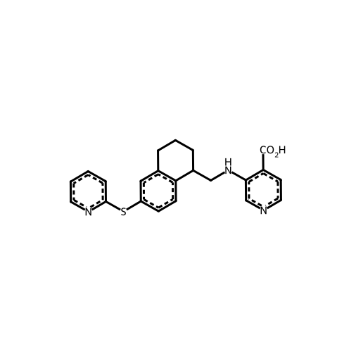 O=C(O)c1ccncc1NCC1CCCc2cc(Sc3ccccn3)ccc21